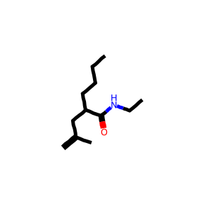 C=C(C)CC(CCCC)C(=O)NCC